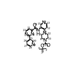 CC(C)(C)OC(=O)N1CCN(c2ccncc2NC(=O)c2ccnc(-c3cccnc3)n2)CC1